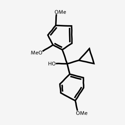 COc1ccc(C(O)(c2ccc(OC)cc2OC)C2CC2)cc1